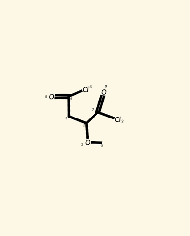 COC(CC(=O)Cl)C(=O)Cl